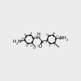 Cc1cc(C(=O)Nc2ccc(N)cc2C)ccc1N